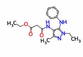 CCOC(=O)CC(=O)Nc1c(C)nn(CC)c1Nc1ccccc1